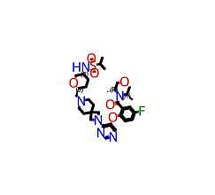 CC(C)S(=O)(=O)N[C@@H]1CC[C@@H](CN2CCC3(CC2)CN(c2ncncc2Oc2ccc(F)cc2C(=O)N2[C@H](C)COC[C@H]2C)C3)OC1